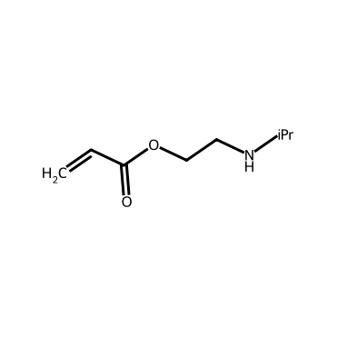 C=CC(=O)OCCNC(C)C